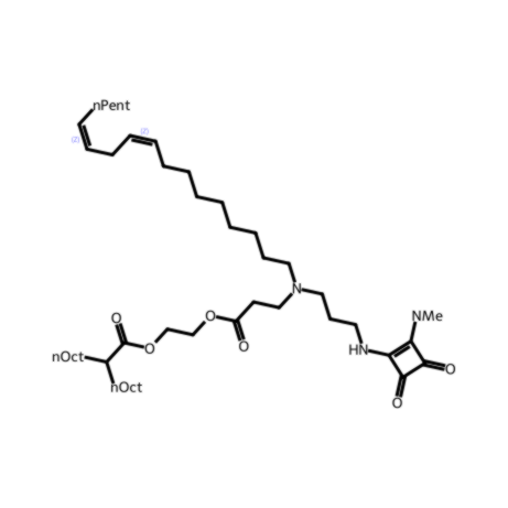 CCCCC/C=C\C/C=C\CCCCCCCCN(CCCNc1c(NC)c(=O)c1=O)CCC(=O)OCCOC(=O)C(CCCCCCCC)CCCCCCCC